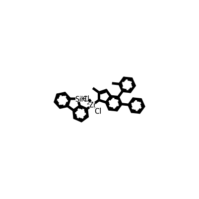 CC1=Cc2c(ccc(-c3ccccc3)c2-c2ccccc2C)[CH]1[Zr]([Cl])([Cl])[c]1cccc2c1[SiH2]c1ccccc1-2